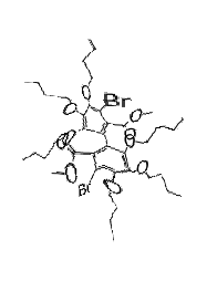 CCCCOc1c(Br)c(C(=O)OC)c(-c2c(OCCCC)c(OCCCC)c(OCCCC)c(Br)c2C(=O)OC)c(OCCCC)c1OCCCC